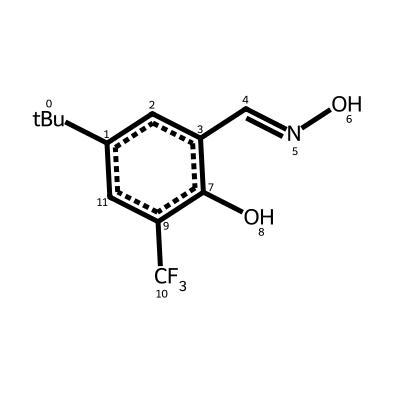 CC(C)(C)c1cc(C=NO)c(O)c(C(F)(F)F)c1